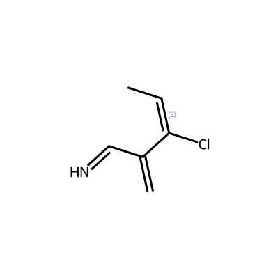 C=C(C=N)/C(Cl)=C\C